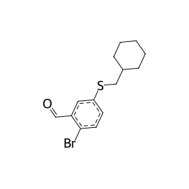 O=Cc1cc(SCC2CCCCC2)ccc1Br